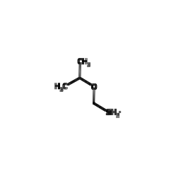 CC(C)OC[SiH2]